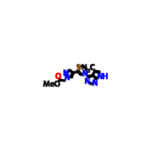 COC(=O)Cn1cc(C2=CN(c3ncnc4[nH]cc(C)c34)CCS2)cn1